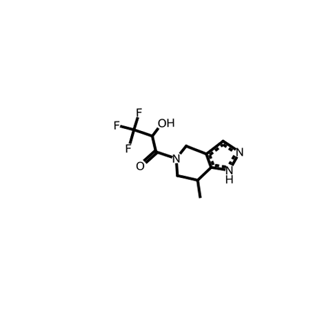 CC1CN(C(=O)C(O)C(F)(F)F)Cc2cn[nH]c21